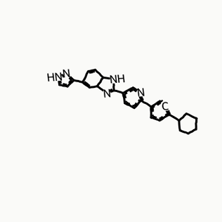 C1=CC2NC(c3ccc(-c4ccc(C5CCCCC5)cc4)nc3)=NC2C=C1c1cc[nH]n1